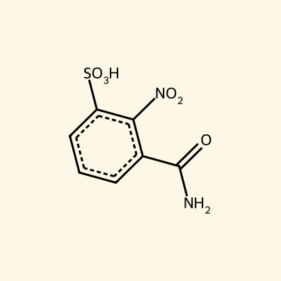 NC(=O)c1cccc(S(=O)(=O)O)c1[N+](=O)[O-]